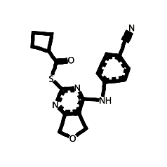 N#Cc1ccc(Nc2nc(SC(=O)C3CCC3)nc3c2COC3)cc1